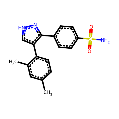 Cc1ccc(-c2c[nH]nc2-c2ccc(S(N)(=O)=O)cc2)c(C)c1